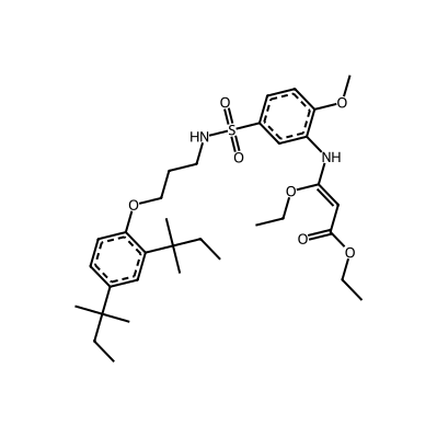 CCOC(=O)C=C(Nc1cc(S(=O)(=O)NCCCOc2ccc(C(C)(C)CC)cc2C(C)(C)CC)ccc1OC)OCC